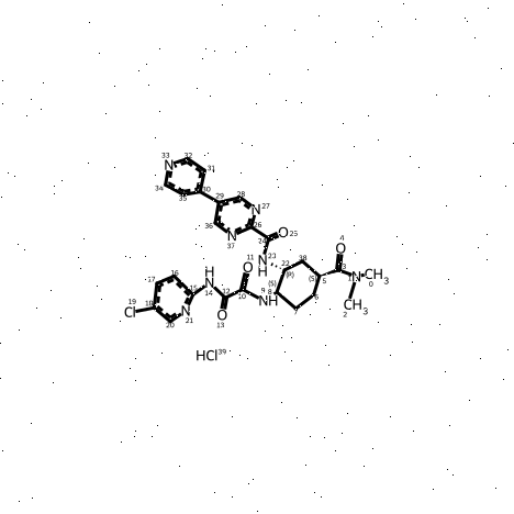 CN(C)C(=O)[C@H]1CC[C@H](NC(=O)C(=O)Nc2ccc(Cl)cn2)[C@H](NC(=O)c2ncc(-c3ccncc3)cn2)C1.Cl